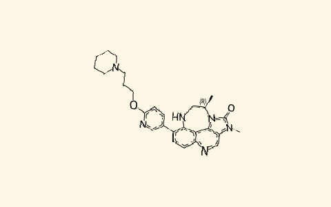 C[C@@H]1CNc2c(-c3ccc(OCCCN4CCCCC4)nc3)ccc3ncc4c(c23)n1c(=O)n4C